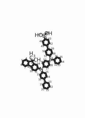 CC1(C)c2ccccc2-c2ccc(N(c3ccc(-c4ccccc4)cc3)c3ccc(N(c4ccccc4)c4ccc(-c5ccc(B(O)O)cc5)cc4)cc3)cc21